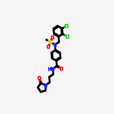 CS(=O)(=O)N(Cc1cccc(Cl)c1Cl)c1ccc(C(=O)NCCCN2CCCC2=O)cc1